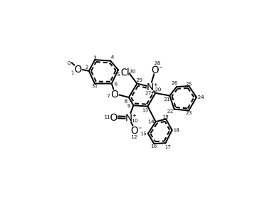 COc1cccc(Oc2c([N+](=O)[O-])c(-c3ccccc3)c(-c3ccccc3)[n+]([O-])c2Cl)c1